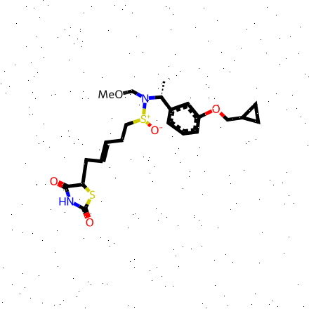 COCN([C@H](C)c1cccc(OCC2CC2)c1)[S+]([O-])CC/C=C/CC1SC(=O)NC1=O